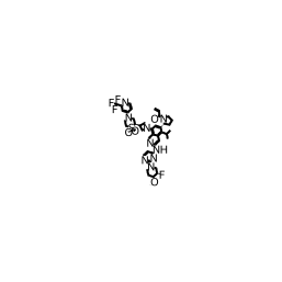 C=CC(=O)N1CCC[C@@H]1c1cc(N2CC([C@@H]3CN(c4ccnc(C(F)(F)F)c4)CCS3(=O)=O)C2)c2cnc(Nc3ccnc(N4CC[C@@H](OC)[C@@H](F)C4)n3)cc2c1C(C)C